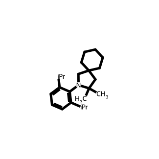 CC(C)c1cccc(C(C)C)c1N1CC2(CCCCC2)CC1(C)C